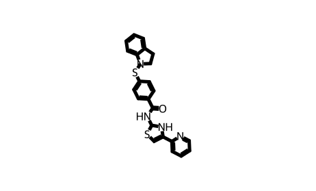 O=C(NC1NC(c2ccccn2)=CS1)c1ccc(SN2CCc3ccccc32)cc1